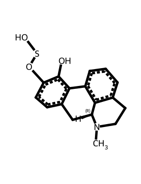 CN1CCc2cccc3c2[C@H]1Cc1ccc(OSO)c(O)c1-3